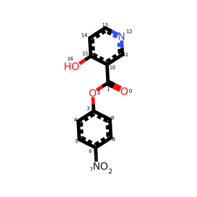 O=C(Oc1ccc([N+](=O)[O-])cc1)c1cnccc1O